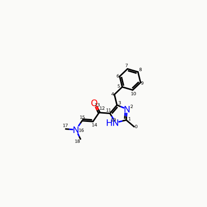 Cc1nc(Cc2ccccc2)c(C(=O)C=CN(C)C)[nH]1